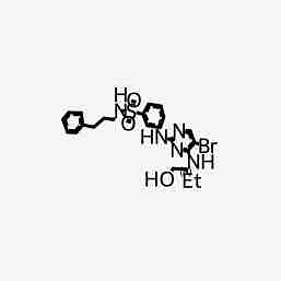 CC[C@H](CO)Nc1nc(Nc2cccc(S(=O)(=O)NCCCc3ccccc3)c2)ncc1Br